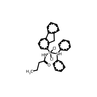 CCCC(=O)[NH][Ti]([Cl])([Cl])([c]1cccc2c1Cc1ccccc1-2)[SiH](c1ccccc1)c1ccccc1